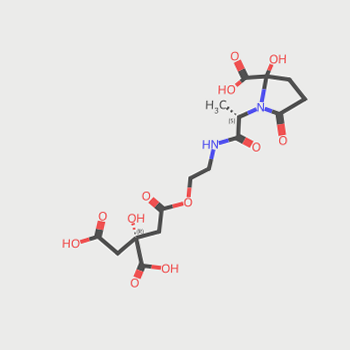 C[C@@H](C(=O)NCCOC(=O)C[C@](O)(CC(=O)O)C(=O)O)N1C(=O)CCC1(O)C(=O)O